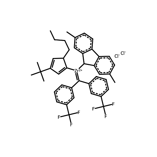 CCCCC1C=C(C(C)(C)C)C=[C]1[Zr+2](=[C](c1cccc(C(F)(F)F)c1)c1cccc(C(F)(F)F)c1)[CH]1c2cc(C)ccc2-c2ccc(C)cc21.[Cl-].[Cl-]